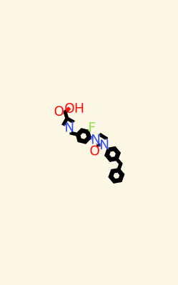 O=C(O)C1CN(Cc2ccc(N3CCN(c4ccc(Cc5ccccc5)cc4)C3=O)c(F)c2)C1